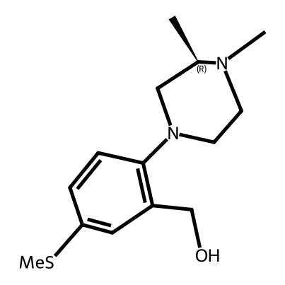 CSc1ccc(N2CCN(C)[C@H](C)C2)c(CO)c1